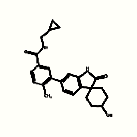 Cc1ccc(C(=O)NCC2CC2)cc1-c1ccc2c(c1)NC(=O)C21CCC(O)CC1